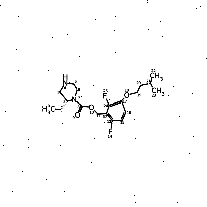 CC[C@@H]1CNCCN1C(=O)OCc1c(F)ccc(OCCC(C)C)c1F